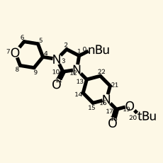 CCCCC1CN(C2CCOCC2)C(=O)N1C1CCN(C(=O)OC(C)(C)C)CC1